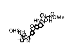 COC(=O)NCC(=O)N1C[C@@H](C)C[C@H]1c1nc2ccc3cc4c(cc3c2[nH]1)OCc1cc(-c2cnc(C3CC[C@H](C)N3C(=O)CNC=O)[nH]2)ccc1-4